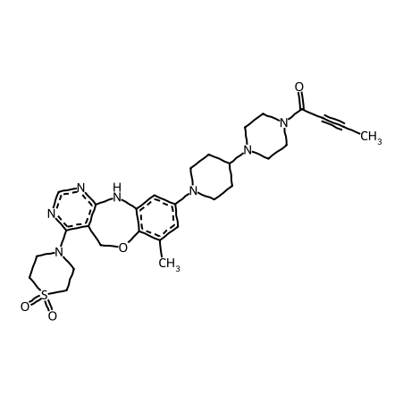 CC#CC(=O)N1CCN(C2CCN(c3cc(C)c4c(c3)Nc3ncnc(N5CCS(=O)(=O)CC5)c3CO4)CC2)CC1